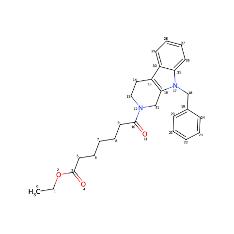 CCOC(=O)CCCCCC(=O)N1CCc2c(n(Cc3ccccc3)c3ccccc23)C1